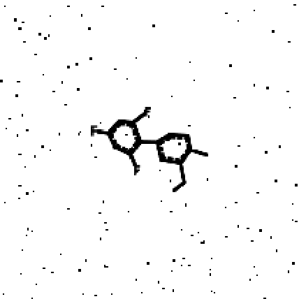 CCc1cc(-c2c(F)cc(F)cc2F)ccc1C